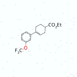 CCOC(=O)C1CC=C(c2cccc(OC(F)(F)F)c2)CC1